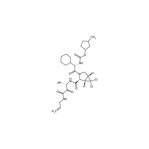 C=CCNC(=O)C(=O)[C@H](CCC)NC(=O)[C@@H]1[C@@H]2[C@H](CN1C(=O)[C@@H](NC(=O)OC1CCC(C)C1)C1CCCCC1)C2(Cl)Cl